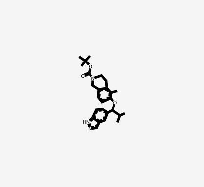 Cc1c(OC(c2ccc3[nH]ncc3c2)C(C)C)ccc2c1CCN(C(=O)OC(C)(C)C)C2